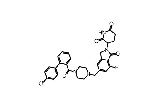 O=C1CCC(N2Cc3cc(CN4CCN(C(=O)c5ccccc5-c5ccc(Cl)cc5)CC4)cc(F)c3C2=O)C(=O)N1